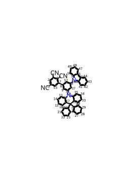 N#Cc1cc(C#N)c(C#N)c(-c2cc(N3c4ccccc4C(c4ccccc4)(c4ccccc4)c4ccccc43)cc(-n3c4ccccc4c4ccccc43)c2)c1